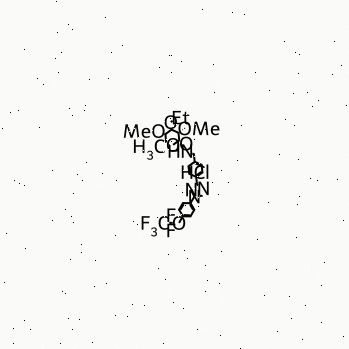 CCO[C@@H]1[C@H](OC)[C@H](ONCc2ccc(-c3ncn(-c4ccc(OC(F)(F)C(F)(F)F)cc4)n3)cc2)O[C@@H](C)[C@@H]1OC.Cl